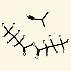 CC(C)C#N.O=C(OC(=O)C(F)(F)C(F)(F)C(F)(F)F)C(F)(F)C(F)(F)C(F)(F)F